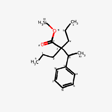 CCCC(CCC)(C(=O)O[SiH3])C(C)c1ccccc1